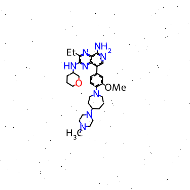 CCc1nc2c(N)ncc(-c3ccc(N4CCCC(N5CCN(C)CC5)CC4)c(OC)c3)c2nc1NC1CCCOC1